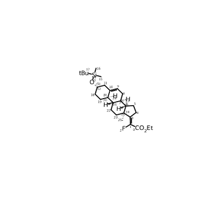 CCOC(=O)C(F)=C1CC[C@H]2[C@@H]3CC=C4C[C@@H](O[Si](C)(C)C(C)(C)C)CC[C@@H]4[C@H]3CC[C@]12C